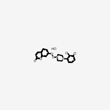 Cl.O=c1ccc2ccc(OON3CCN(c4cccc(Cl)c4Cl)CC3)cc2o1